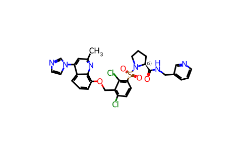 Cc1cc(-n2ccnc2)c2cccc(OCc3c(Cl)ccc(S(=O)(=O)N4CCC[C@H]4C(=O)NCc4cccnc4)c3Cl)c2n1